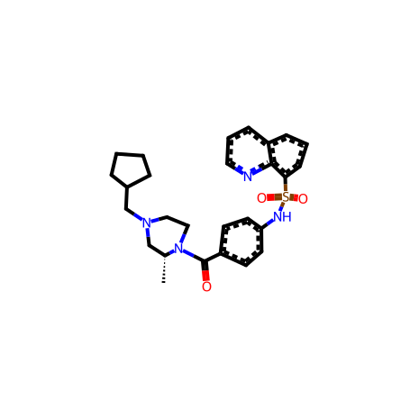 C[C@@H]1CN(CC2CCCC2)CCN1C(=O)c1ccc(NS(=O)(=O)c2cccc3cccnc23)cc1